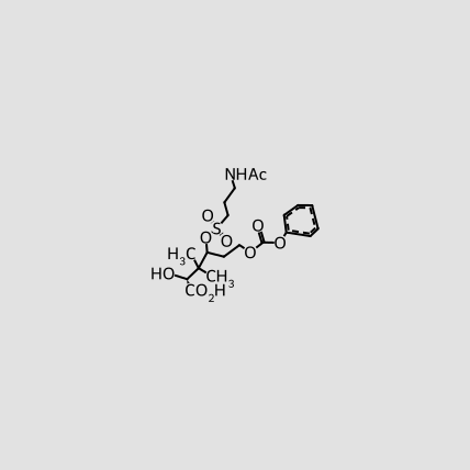 CC(=O)NCCCS(=O)(=O)OC(CCOC(=O)Oc1ccccc1)C(C)(C)[C@@H](O)C(=O)O